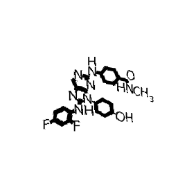 CNC(=O)C1CCC(Nc2ncc3nc(Nc4ccc(F)cc4F)n([C@H]4CC[C@@H](O)CC4)c3n2)CC1